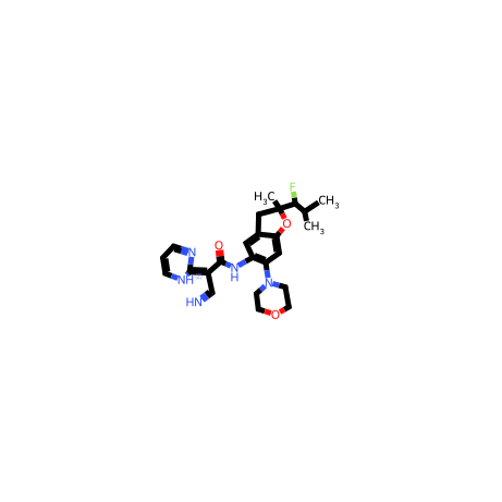 CC(C)C(F)C1(C)Cc2cc(NC(=O)/C(C=N)=C3\N=CC=CN3)c(N3CCOCC3)cc2O1